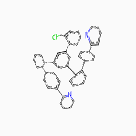 Clc1ccccc1-c1cc(-c2ccccc2-c2ccc(-c3ccccn3)cc2)cc(-c2ccccc2-c2ccc(-c3ccccn3)cc2)c1